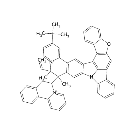 C=CC1(C)[n+]2ccc(C(C)(C)C)cc2-c2cc3c4c5c(cc6c7ccccc7n(c3cc2C1(C)C1Cc2ccccc2-c2cccc[n+]21)c64)oc1ccccc15